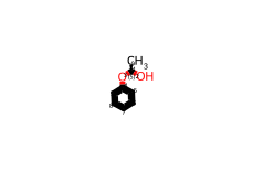 C[C@@H](O)Oc1cc[c]cc1